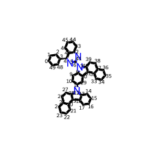 c1ccc(-c2nc(-n3c4ccc(-n5c6ccccc6c6c7ccccc7ccc65)cc4c4c5ccccc5ccc43)nc3ccccc23)cc1